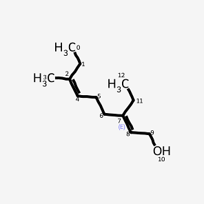 CCC(C)=CCC/C(=C/CO)CC